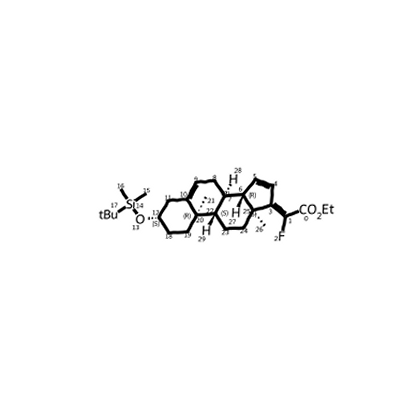 CCOC(=O)C(F)=C1C=C[C@H]2[C@@H]3CC=C4C[C@@H](O[Si](C)(C)C(C)(C)C)CC[C@]4(C)[C@H]3CC[C@]12C